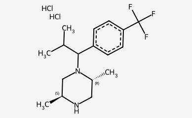 CC(C)C(c1ccc(C(F)(F)F)cc1)N1C[C@H](C)NC[C@H]1C.Cl.Cl